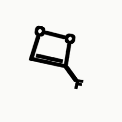 Fc1coo1